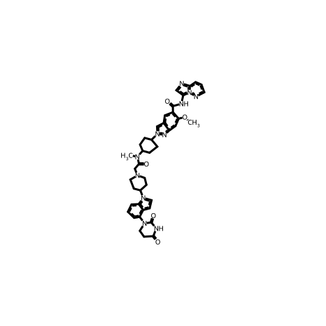 COc1cc2nn(C3CCC(N(C)C(=O)CN4CCC(n5ccc6c(N7CCC(=O)NC7=O)cccc65)CC4)CC3)cc2cc1C(=O)Nc1cnc2cccnn12